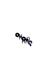 C=C/C=C(\C=C/C)NC(=O)c1ccc(/N=N/c2ccccc2)cc1